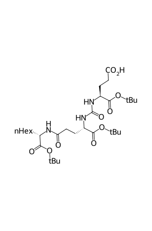 CCCCCC[C@H](NC(=O)CC[C@H](NC(=O)N[C@@H](CCC(=O)O)C(=O)OC(C)(C)C)C(=O)OC(C)(C)C)C(=O)OC(C)(C)C